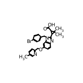 Cc1ccc(COc2ccc3nc(C4C(C(=O)O)C4(C)C)n(Cc4ccc(Br)cc4)c3c2)nc1